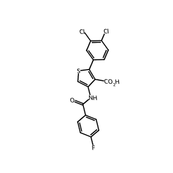 O=C(Nc1csc(-c2ccc(Cl)c(Cl)c2)c1C(=O)O)c1ccc(F)cc1